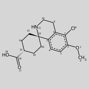 COc1ccc2c(c1Cl)CCN[C@]21CC[C@@H](C(=O)O)CC1